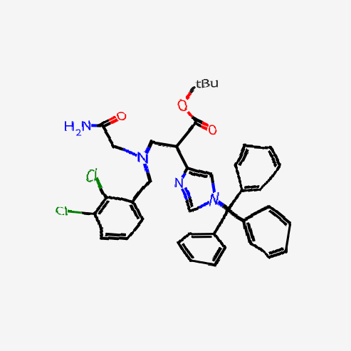 CC(C)(C)OC(=O)C(CN(CC(N)=O)Cc1cccc(Cl)c1Cl)c1cn(C(c2ccccc2)(c2ccccc2)c2ccccc2)cn1